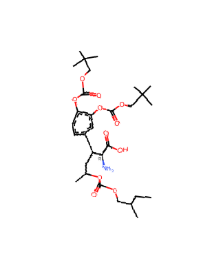 CCC(C)COC(=O)OC(C)CC(c1ccc(OC(=O)OCC(C)(C)C)c(OC(=O)OCC(C)(C)C)c1)[C@H](N)C(=O)O